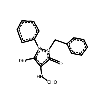 CC(C)(C)c1c(NC=O)c(=O)n(Cc2ccccc2)n1-c1ccccc1